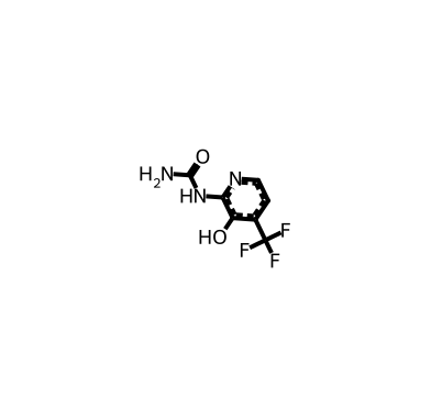 NC(=O)Nc1nccc(C(F)(F)F)c1O